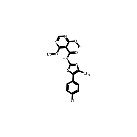 CCOc1ncnc(OCC)c1C(=O)Nc1nc(C(F)(F)F)c(-c2ccc(Cl)cc2)s1